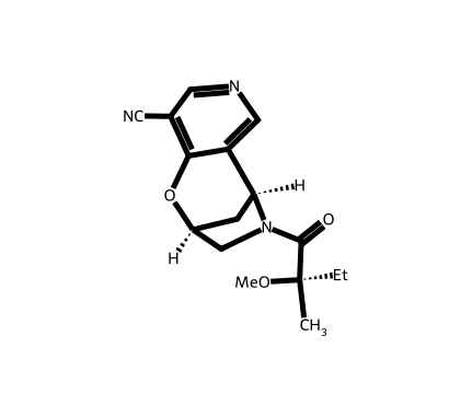 CC[C@](C)(OC)C(=O)N1C[C@@H]2C[C@H]1c1cncc(C#N)c1O2